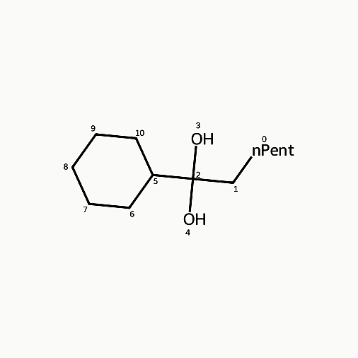 CCCCCCC(O)(O)C1CCCCC1